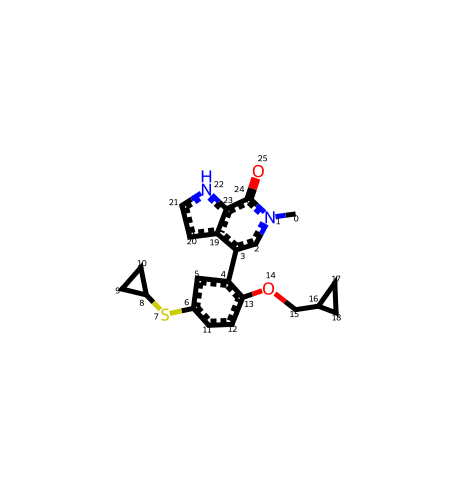 Cn1cc(-c2cc(SC3CC3)ccc2OCC2CC2)c2cc[nH]c2c1=O